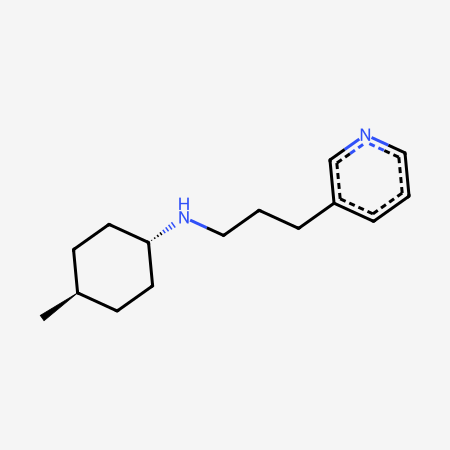 C[C@H]1CC[C@H](NCCCc2cccnc2)CC1